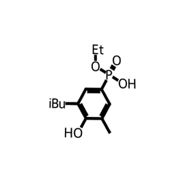 CCOP(=O)(O)c1cc(C)c(O)c(C(C)CC)c1